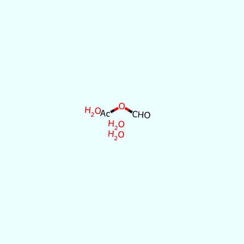 CC(=O)OC=O.O.O.O